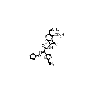 C=CC1=C(C(=O)O)N2C(=O)C(NC(=O)/C(=N/OC3C=CCC3)c3csc(N)n3)[C@H]2SC1